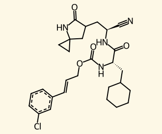 N#C[C@H](CC1CC2(CC2)NC1=O)NC(=O)[C@H](CC1CCCCC1)NC(=O)OC/C=C/c1cccc(Cl)c1